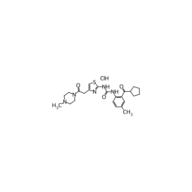 Cc1ccc(NC(=O)Nc2nc(CC(=O)N3CCN(C)CC3)cs2)c(C(=O)C2CCCC2)c1.Cl